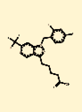 O=C(O)CCCCc1nn(Cc2ccc(F)cc2F)c2cc(C(F)(F)F)ccc12